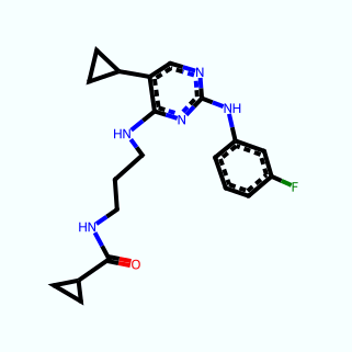 O=C(NCCCNc1nc(Nc2cccc(F)c2)ncc1C1CC1)C1CC1